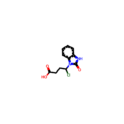 O=C(O)CCC(Cl)n1c(=O)[nH]c2ccccc21